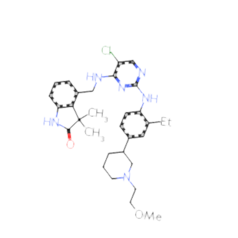 CCc1cc(C2CCCN(CCOC)C2)ccc1Nc1ncc(Cl)c(NCc2cccc3c2C(C)(C)C(=O)N3)n1